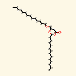 CCCCCCCCCCCCCCOCC(CC(=O)O)OCCCCCCCCCCCCCC